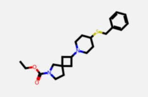 CCOC(=O)N1CCC2(CC(N3CCC(SCc4ccccc4)CC3)C2)C1